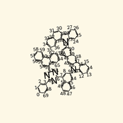 c1ccc(-c2nc(-c3cc(-n4c5ccccc5c5cc6cc(-n7c8ccccc8c8ccc9ccccc9c87)ccc6cc54)cc4ccccc34)nc(-c3cc4ccccc4c4ccccc34)n2)cc1